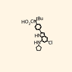 CC(C)(C)N(C(=O)O)c1ccc(-c2cc3cc(Cl)cc(NC4CCCC4)c3[nH]2)cc1